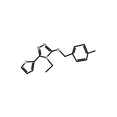 CCn1c(SCc2ccc(C)cc2)nnc1-c1cccs1